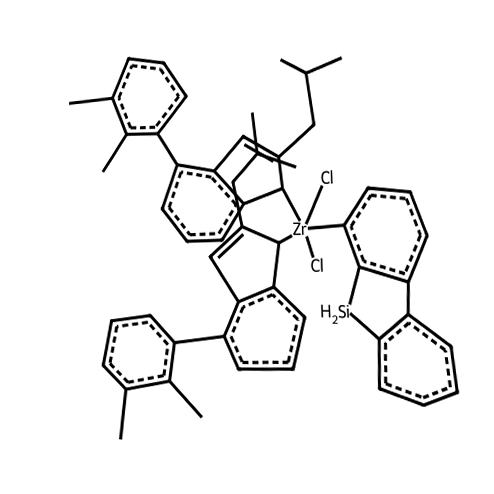 Cc1cccc(-c2cccc3c2C=C(CC(C)C)[CH]3[Zr]([Cl])([Cl])([c]2cccc3c2[SiH2]c2ccccc2-3)[CH]2C(CC(C)C)=Cc3c(-c4cccc(C)c4C)cccc32)c1C